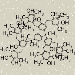 Cc1cc(Cc2cc(C(C)(c3ccc(C(C)(C)c4cc(Cc5cc(C)c(O)c(C)c5C)c(O)c(Cc5cc(C)c(O)c(C)c5C)c4)cc3)c3cc(Cc4cc(C)c(O)c(C)c4C)c(O)c(Cc4cc(C)c(O)c(C)c4C)c3)cc(Cc3cc(C)c(O)c(C)c3C)c2O)c(C)c(C)c1C